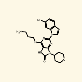 N#Cc1ccc2ncn(-c3nc(NCCCN)c4[nH]c(=O)n(C5CCOCC5)c4n3)c2c1